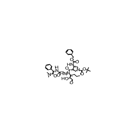 CCC[C@@H](C(O)C=O)N(NCC(=O)N[C@H](C(=O)N(C)C)c1ccccc1)C(=O)[C@@H]1CN(C(=O)OC(C)(C)C)C[C@@H]1NC(=O)OCc1ccccc1